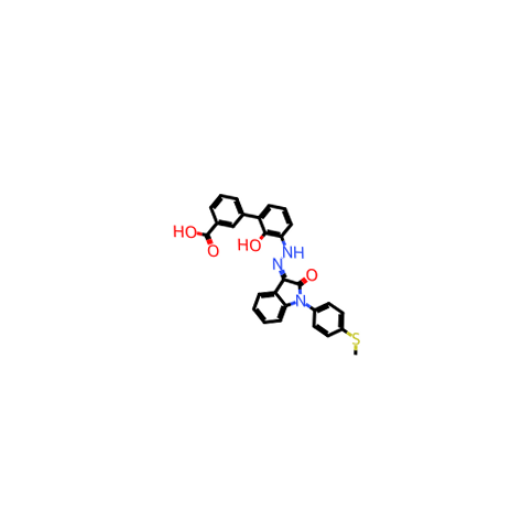 CSc1ccc(N2C(=O)C(=NNc3cccc(-c4cccc(C(=O)O)c4)c3O)c3ccccc32)cc1